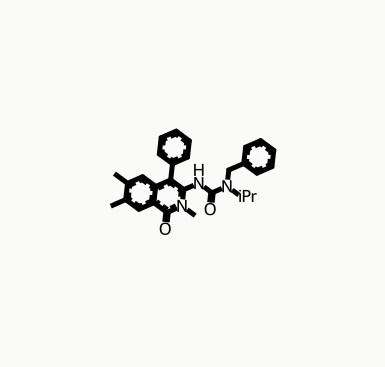 Cc1cc2c(-c3ccccc3)c(NC(=O)N(Cc3ccccc3)C(C)C)n(C)c(=O)c2cc1C